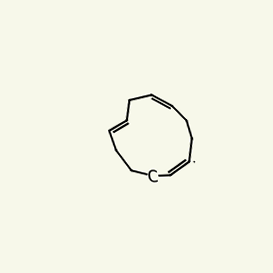 [C]1=C\CCC/C=C/C/C=C\CC/1